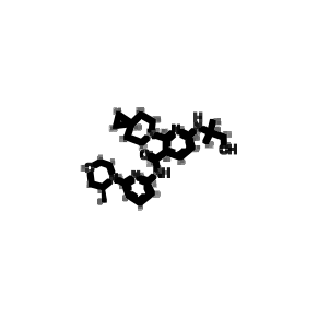 C[C@H]1COCCN1c1cccc(NC(=O)c2ccc(NC(C)(C)CO)nc2N2CCC3(CC2)CC3)n1